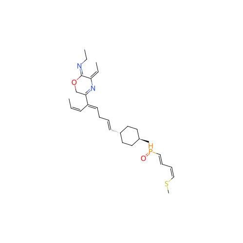 C/C=C\C(=C/C/C=C/[C@H]1CC[C@H](C[PH](=O)/C=C/C=C\SC)CC1)C1=NC(=C/C)/C(=N\CC)OC1